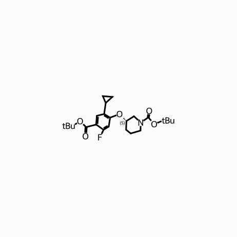 CC(C)(C)OC(=O)c1cc(C2CC2)c(O[C@H]2CCCN(C(=O)OC(C)(C)C)C2)cc1F